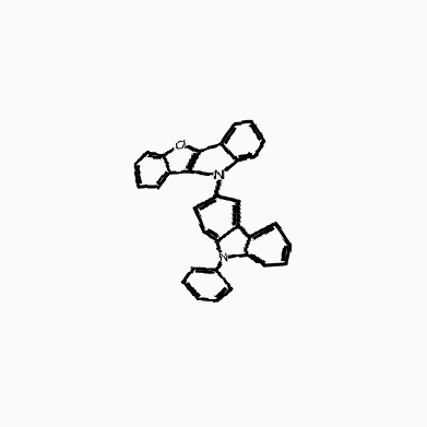 c1ccc(-n2c3ccccc3c3cc(-n4c5ccccc5c5oc6ccccc6c54)ccc32)cc1